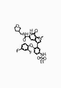 CCS(=O)(=O)Nc1ccc(Oc2ccc(F)cc2F)c(-c2cn(C)c3c(=O)[nH]c(C(=O)NCC4CCOC4)cc23)c1